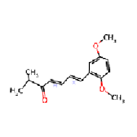 COc1ccc(OC)c(/C=C/C=C/C(=O)C(C)C)c1